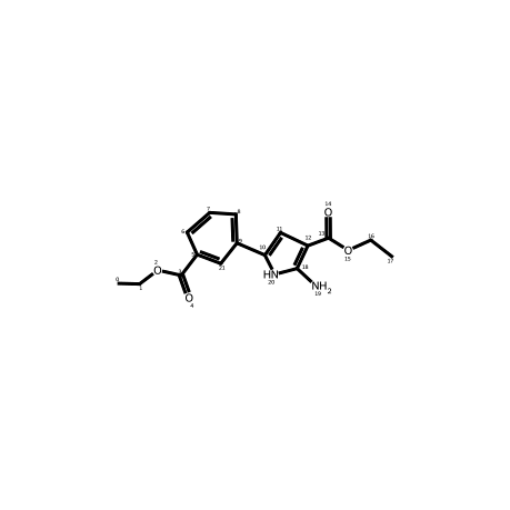 CCOC(=O)c1cccc(-c2cc(C(=O)OCC)c(N)[nH]2)c1